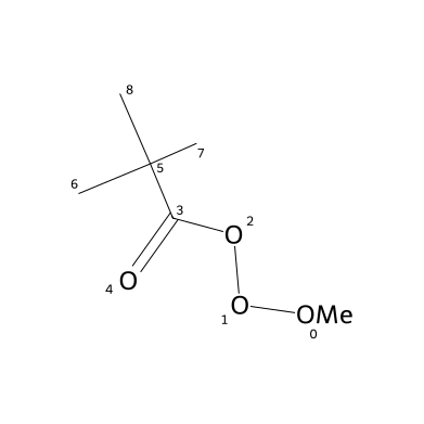 COOOC(=O)C(C)(C)C